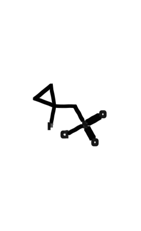 O=S(=O)(Cl)CC1(F)CC1